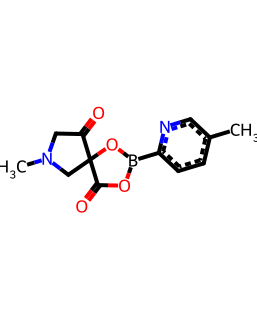 Cc1ccc(B2OC(=O)C3(CN(C)CC3=O)O2)nc1